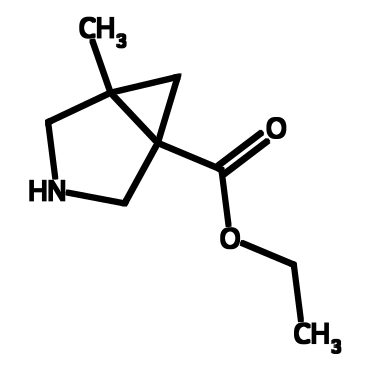 CCOC(=O)C12CNCC1(C)C2